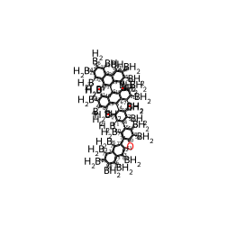 Bc1c(B)c(-c2c3c(B)c(B)c(B)c(B)c3c(-c3c(B)c4c(B)c(B)c(B)c(B)c4c4c(B)c(B)c(B)c(B)c34)c3c(B)c(B)c(B)c(B)c23)c(B)c(B)c1-c1c(B)c(B)c2oc3c(B)c4c(B)c(B)c(B)c(B)c4c(B)c3c2c1B